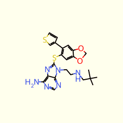 CC(C)(C)CNCCn1c(Sc2cc3c(cc2-c2ccsc2)OCO3)nc2c(N)ncnc21